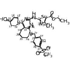 CCOC(=O)c1sc(Nc2nc(N3CCC(O)CC3)c3c(n2)N(Cc2ccc(S(C)(=O)=O)cc2)CCCC3)nc1C